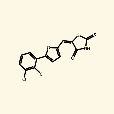 O=C1NC(=S)S/C1=C/c1ccc(-c2cccc(Cl)c2Cl)o1